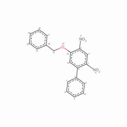 O=[N+]([O-])c1cc([N+](=O)[O-])c(-c2ccccc2)cc1OCc1ccccc1